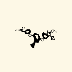 Cc1nc2ccc(Oc3ccc(Oc4cccc(CC(=O)O)c4)c(C4CC4)c3)cc2n1C1COC1